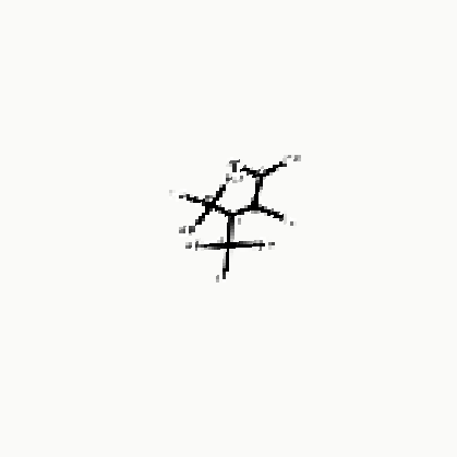 FC(F)C(I)C(C(F)(F)F)C(F)(F)F